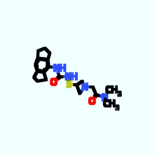 CN(C)C(=O)CN1CC(SNC(=O)Nc2c3c(cc4c2CCC4)CCC3)C1